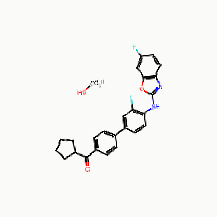 O=C(O)O.O=C(c1ccc(-c2ccc(Nc3nc4ccc(F)cc4o3)c(F)c2)cc1)C1CCCC1